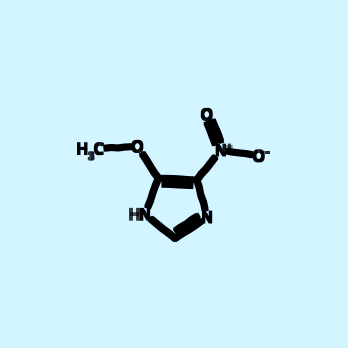 COc1[nH]cnc1[N+](=O)[O-]